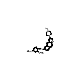 COc1ccc(CNc2ccc3ccc4ncc(N5CCN(C(C)C)CC5)cc4c(=O)c3c2)c(OC)c1